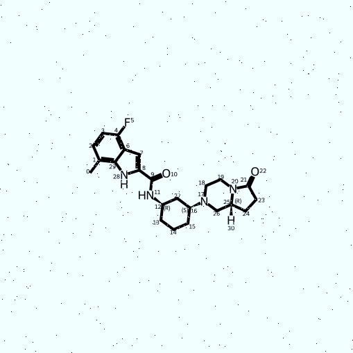 Cc1ccc(F)c2cc(C(=O)N[C@@H]3CCC[C@H](N4CCN5C(=O)CC[C@@H]5C4)C3)[nH]c12